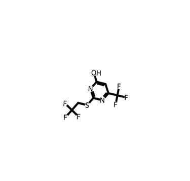 Oc1cc(C(F)(F)F)nc(SCC(F)(F)F)n1